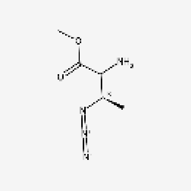 COC(=O)C(N)[C@@H](C)N=[N+]=[N-]